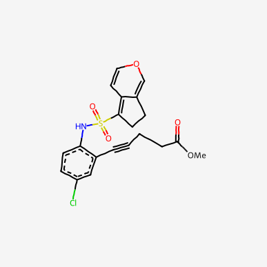 COC(=O)CCC#Cc1cc(Cl)ccc1NS(=O)(=O)C1=C2C=COC=C2CC1